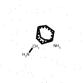 CN.N.c1cc2ccc1CC2